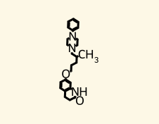 CC(CCCOc1ccc2c(c1)NC(=O)CC2)CN1CCN(c2ccccc2)CC1